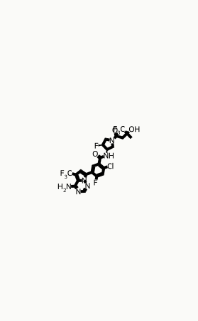 CC(O)(CC(=O)N1C[C@H](F)[C@H](NC(=O)c2cc(-c3cc(C(F)(F)F)c4c(N)ncnn34)c(F)cc2Cl)C1)C(F)(F)F